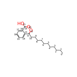 CCCCCCCCCCCC(=O)c1ccccc1C(=O)O